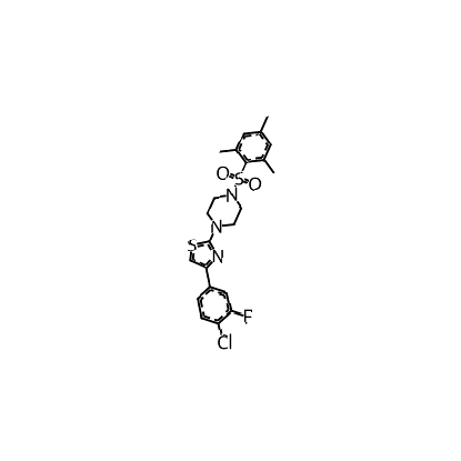 Cc1cc(C)c(S(=O)(=O)N2CCN(c3nc(-c4ccc(Cl)c(F)c4)cs3)CC2)c(C)c1